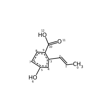 CC=Cc1cc(O)ccc1C(=O)O